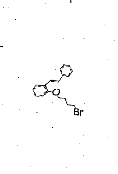 BrCCCCOc1ccccc1/C=C/c1ccccc1